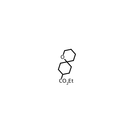 CCOC(=O)C1CCC2(CCCCO2)CC1